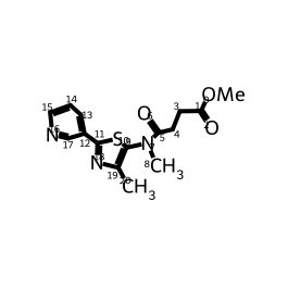 COC(=O)CCC(=O)N(C)c1sc(-c2cccnc2)nc1C